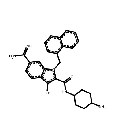 N#Cc1c(C(=O)NC2CCC(N)CC2)n(Cc2cccc3ccccc23)c2cc(C(=N)N)ccc12